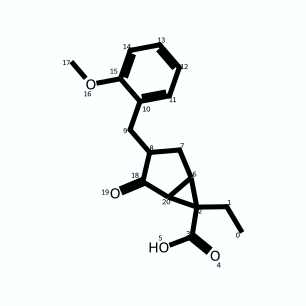 CCC1(C(=O)O)C2CC(Cc3ccccc3OC)C(=O)C21